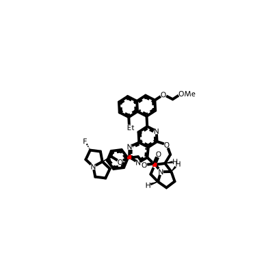 CCc1cccc2cc(OCOC)cc(-c3cc4nc(OC[C@@]56CCCN5C[C@H](F)C6)nc5c4c(n3)OC[C@@H]3[C@@H]4CC[C@H](CN53)N4C(=O)OCc3ccccc3)c12